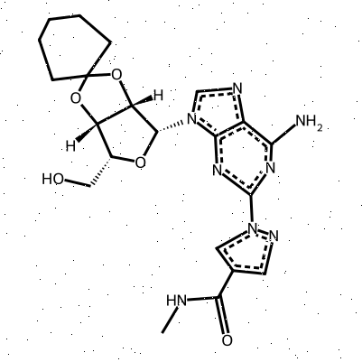 CNC(=O)c1cnn(-c2nc(N)c3ncn([C@@H]4O[C@H](CO)[C@@H]5OC6(CCCCC6)O[C@@H]54)c3n2)c1